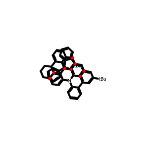 CC(C)(C)c1cc(-c2ccccc2N(c2ccccc2-c2cccc3cccc(C4CCCCC4)c23)c2cccc3c4ccccc4n(-c4ccccc4)c23)cc(C(C)(C)C)c1